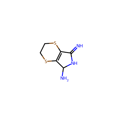 N=C1NC(N)C2=C1SCCS2